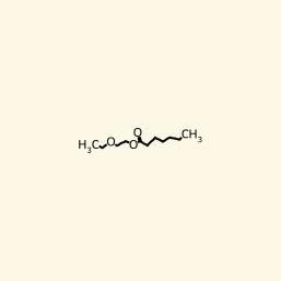 CCCCCCC(=O)OCCOCC